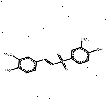 COc1cc(C=NS(=O)(=O)c2ccc(O)c(OC)c2)ccc1O